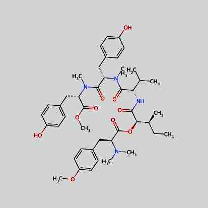 CC[C@H](C)[C@@H](OC(=O)[C@H](Cc1ccc(OC)cc1)N(C)C)C(=O)N[C@H](C(=O)N(C)[C@@H](Cc1ccc(O)cc1)C(=O)N(C)[C@@H](Cc1ccc(O)cc1)C(=O)OC)C(C)C